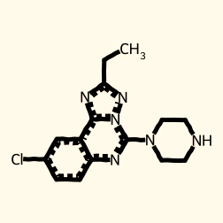 CCc1nc2c3cc(Cl)ccc3nc(N3CCNCC3)n2n1